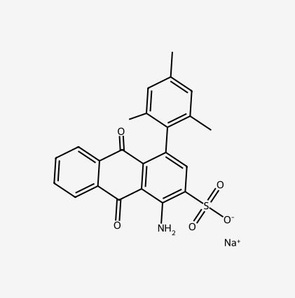 Cc1cc(C)c(-c2cc(S(=O)(=O)[O-])c(N)c3c2C(=O)c2ccccc2C3=O)c(C)c1.[Na+]